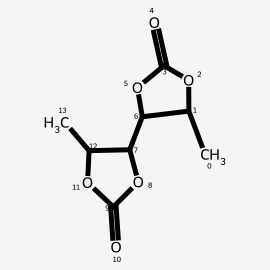 CC1OC(=O)OC1C1OC(=O)OC1C